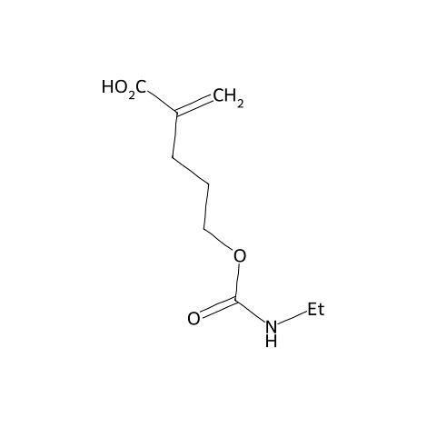 C=C(CCCOC(=O)NCC)C(=O)O